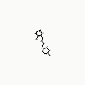 CN1CCN(CCOCc2ccccc2Br)CC1